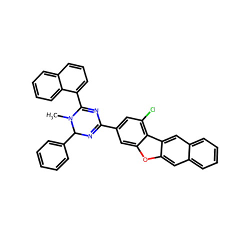 CN1C(c2cccc3ccccc23)=NC(c2cc(Cl)c3c(c2)oc2cc4ccccc4cc23)=NC1c1ccccc1